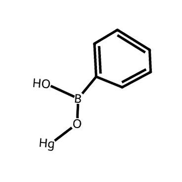 OB([O][Hg])c1ccccc1